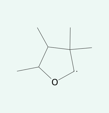 CC1O[CH]C(C)(C)C1C